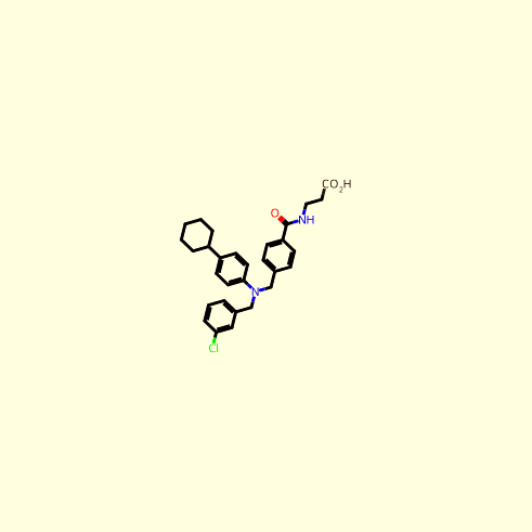 O=C(O)CCNC(=O)c1ccc(CN(Cc2cccc(Cl)c2)c2ccc(C3CCCCC3)cc2)cc1